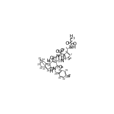 CS(=O)(=O)NCc1csc2c1S(=O)(=O)N=C(C1=C(O)[C@@H]3C4C5CC6C4C6C5[C@@H]3N(Cc3ccc(F)cc3)C1=O)N2